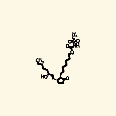 CCCCC[C@H](O)C=C[C@H]1C=CC(=O)[C@@H]1CC=CCCCCOC(=O)NS(C)(=O)=O